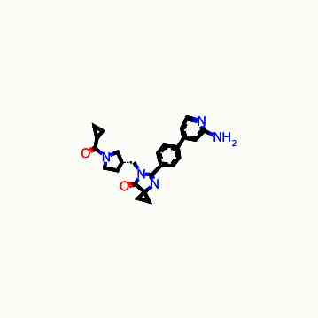 Nc1cc(-c2ccc(C3=NC4(CC4)C(=O)N3C[C@@H]3CCN(C(=O)C4CC4)C3)cc2)ccn1